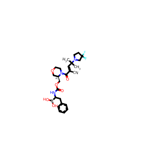 CC(C)(C=C(C#N)C(=O)N1CCOC[C@@H]1COC(=O)NC(Cc1ccccc1)B(O)O)N1CCC(F)(F)C1